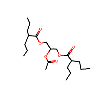 CCCC(CCC)C(=O)OCC(COC(=O)C(CCC)CCC)OC(C)=O